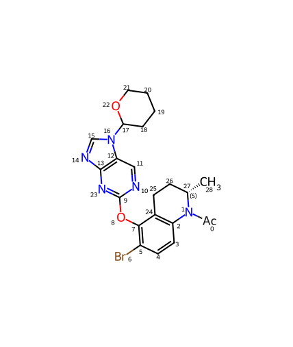 CC(=O)N1c2ccc(Br)c(Oc3ncc4c(ncn4C4CCCCO4)n3)c2CC[C@@H]1C